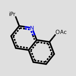 CC(=O)Oc1cccc2ccc(C(C)C)nc12